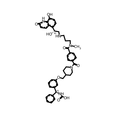 CN(CCCNC[C@H](O)c1ccc(O)c2[nH]c(=O)ccc12)C(=O)c1ccc(C(=O)N2CCC(COc3cccc([C@@H](NC(=O)O)c4ccccc4)c3)CC2)cc1